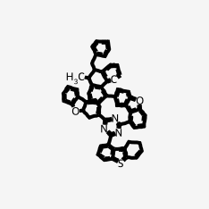 CC1c2cccc(-c3ccc4oc5cccc(-c6nc(C7=CC=C8c9ccccc9OC8C7)nc(-c7cccc8sc9c(c78)CCC=C9)n6)c5c4c3)c2-c2ccccc2C1Cc1ccccc1